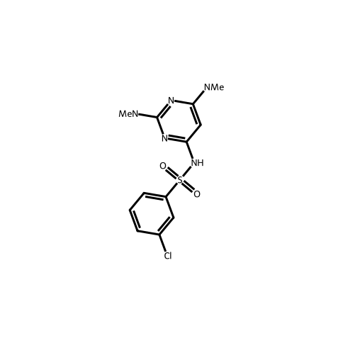 CNc1cc(NS(=O)(=O)c2cccc(Cl)c2)nc(NC)n1